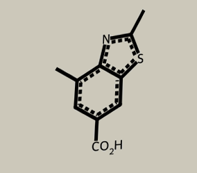 Cc1nc2c(C)cc(C(=O)O)cc2s1